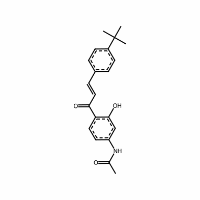 CC(=O)Nc1ccc(C(=O)/C=C/c2ccc(C(C)(C)C)cc2)c(O)c1